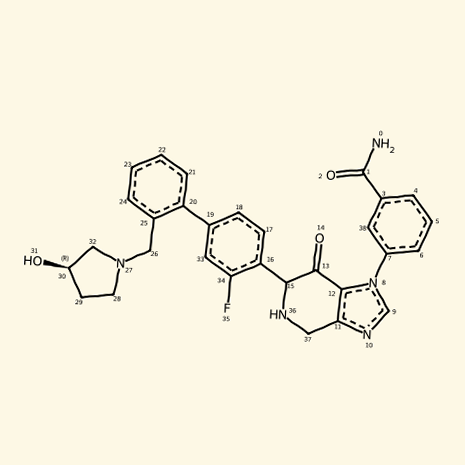 NC(=O)c1cccc(-n2cnc3c2C(=O)C(c2ccc(-c4ccccc4CN4CC[C@@H](O)C4)cc2F)NC3)c1